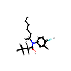 CCCCCC(C)N(C(=O)C(C)(C)C(C)(C)C)c1ccc(F)c(C)c1